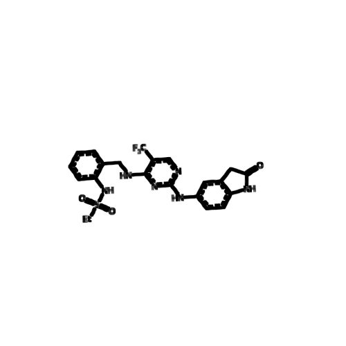 CCS(=O)(=O)Nc1ccccc1CNc1nc(Nc2ccc3c(c2)CC(=O)N3)ncc1C(F)(F)F